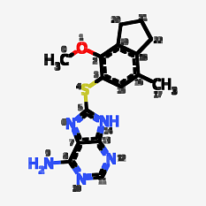 COc1c(Sc2nc3c(N)ncnc3[nH]2)cc(C)c2c1CCC2